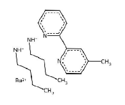 CCCC[NH-].CCCC[NH-].Cc1ccnc(-c2ccccn2)c1.[Ru+2]